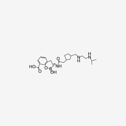 CC(C)NCCNCC1CCC(CC(=O)N[C@H]2Cc3cccc(C(=O)O)c3OB2O)C1